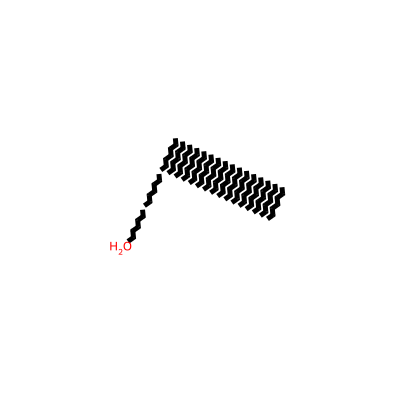 CCCCCCC.CCCCCCC.CCCCCCC.CCCCCCC.CCCCCCC.CCCCCCC.CCCCCCC.CCCCCCC.CCCCCCC.CCCCCCC.CCCCCCC.CCCCCCC.CCCCCCC.CCCCCCC.CCCCCCC.CCCCCCC.CCCCCCC.CCCCCCC.O